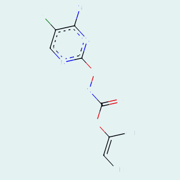 C/C=C(\C)OC(=O)NOc1ncc(F)c(N)n1